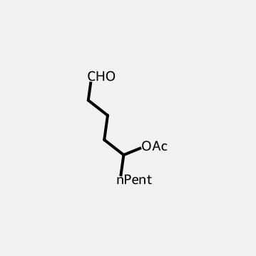 CCCCCC(CCCC=O)OC(C)=O